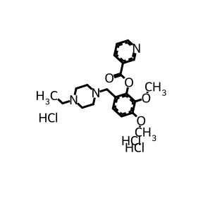 CCN1CCN(Cc2ccc(OC)c(OC)c2OC(=O)c2cccnc2)CC1.Cl.Cl.Cl